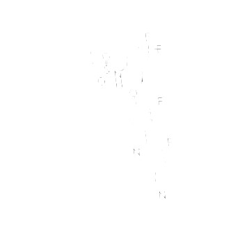 CCS(=O)(=O)N[C@H]1CCC(F)(F)C[C@H]1COc1ccc(-c2ncc(C#N)cc2F)cc1F